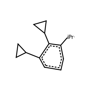 C[C](C)c1cccc(C2CC2)c1C1CC1